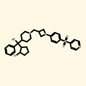 CCC1CCCC1C(C#N)(c1ccccc1)C1CCN(CC2CN(c3ccc(S(=O)(=O)c4ccncc4)cc3)C2)CC1